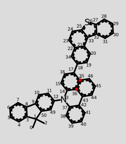 CC1(C)c2ccccc2-c2ccc(N(c3ccc(-c4ccc5c(ccc6sc7ccccc7c65)c4)cc3)c3ccccc3-c3ccccc3)cc21